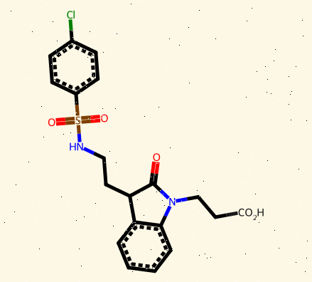 O=C(O)CCN1C(=O)C(CCNS(=O)(=O)c2ccc(Cl)cc2)c2ccccc21